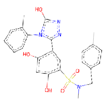 Cc1ccc(CN(C)S(=O)(=O)c2cc(-c3nnc(O)n3-c3ccccc3C)c(O)cc2O)cc1